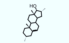 C[C@@H]1CC[C@@]2(C)C(=CCC3C2CC[C@@]2(C)C3C[C@@H](C)[C@@H]2O)C1